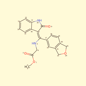 COC(=O)CNC(=C1C(=O)Nc2ccccc21)c1ccc2c(c1)COC2